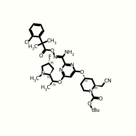 C[C@H](Oc1cc(O[C@H]2CCN(C(=O)OC(C)(C)C)[C@H](CC#N)C2)nc(C(N)=NOC(=O)C(C)(C)c2ccccc2Cl)n1)[C@@H]1C[C@@H](F)CN1C